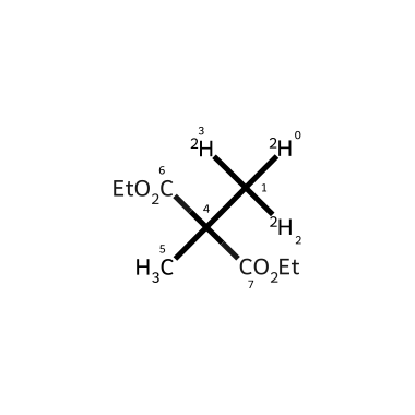 [2H]C([2H])([2H])C(C)(C(=O)OCC)C(=O)OCC